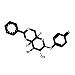 O[C@@H]1[C@@H](O)[C@H](OC2=CCC(=S)C=C2)O[C@@H]2COC(c3ccccc3)O[C@@H]12